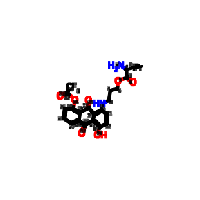 CC(C)[C@H](N)C(=O)OCCCNc1ccc(O)c2c1C(=O)c1c(OC(=O)C(F)(F)F)cccc1C2=O